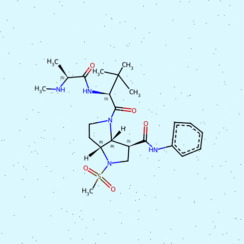 CN[C@@H](C)C(=O)N[C@H](C(=O)N1CC[C@@H]2[C@H]1[C@@H](C(=O)Nc1ccccc1)CN2S(C)(=O)=O)C(C)(C)C